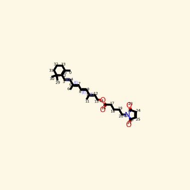 CC1=C(/C=C/C(C)=C/C=C/C(C)=C/COC(=O)CCCCN2C(=O)C=CC2=O)C(C)(C)CCC1